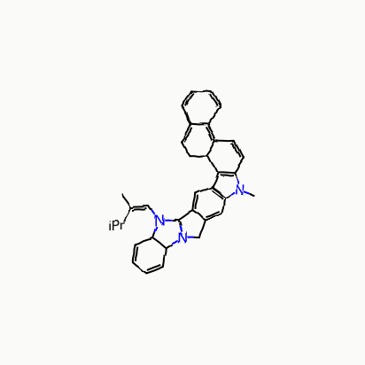 C/C(=C/N1C2C=CC=CC2N2Cc3cc4c(cc3C12)c1c(n4C)C=CC2=c3ccccc3=CCC21)C(C)C